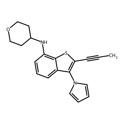 CC#Cc1sc2c(NC3CCOCC3)cccc2c1-n1cccc1